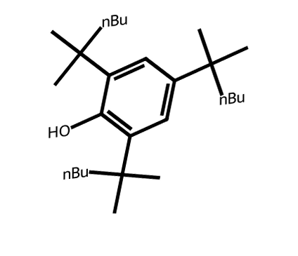 CCCCC(C)(C)c1cc(C(C)(C)CCCC)c(O)c(C(C)(C)CCCC)c1